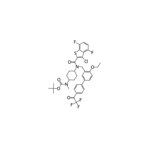 CCOc1ccc(-c2ccc(C(=O)C(F)(F)F)cc2)cc1CN(C(=O)c1sc2c(F)ccc(F)c2c1Cl)C1CCC(N(C)C(=O)OC(C)(C)C)CC1